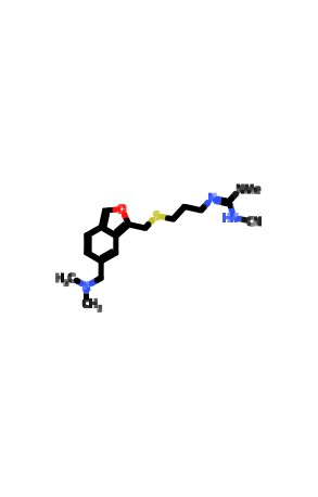 CNC(=NCCCSCc1occ2ccc(CN(C)C)cc12)NC#N